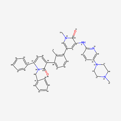 Cc1c(-c2cc(Nc3ccc(N4CCN(C)CC4)cn3)c(=O)n(C)c2)cccc1-c1ccc(-c2ccccc2)n(Cc2ccccc2)c1=O